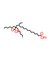 CCCCCCC(CCCCCC)(CC(CC)CCCCCCCCCCCC(=O)O)C(=O)O